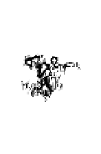 CNCCC(Oc1ccc(N2CCCC2=O)cc1-n1nc2c(N(C)C)nnc(C)c2c1C)c1ccccc1